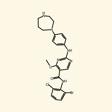 COc1nc(Nc2ccc(N3CCCNCC3)cc2)ncc1C(=O)Nc1c(Cl)cccc1Br